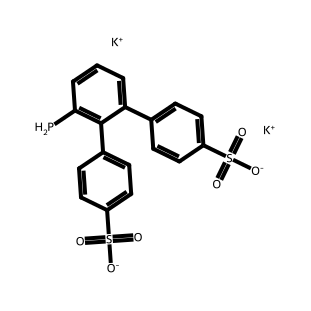 O=S(=O)([O-])c1ccc(-c2cccc(P)c2-c2ccc(S(=O)(=O)[O-])cc2)cc1.[K+].[K+]